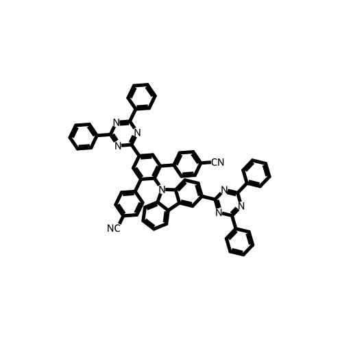 N#Cc1ccc(-c2cc(-c3nc(-c4ccccc4)nc(-c4ccccc4)n3)cc(-c3ccc(C#N)cc3)c2-n2c3ccccc3c3cc(-c4nc(-c5ccccc5)nc(-c5ccccc5)n4)ccc32)cc1